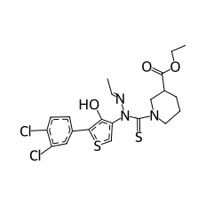 CC=NN(C(=S)N1CCCC(C(=O)OCC)C1)c1csc(-c2ccc(Cl)c(Cl)c2)c1O